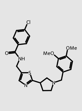 COc1ccc(CN2CCC(c3ncc(CNC(=O)c4ccc(Cl)cc4)s3)C2)cc1OC